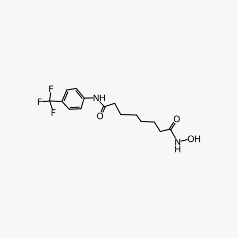 O=C(CCCCCCC(=O)Nc1ccc(C(F)(F)F)cc1)NO